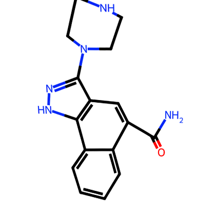 NC(=O)c1cc2c(N3CCNCC3)n[nH]c2c2ccccc12